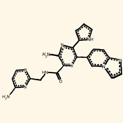 Nc1ccnc(CNC(=O)c2nc(-c3ccc4nccn4c3)c(-c3ccc[nH]3)nc2N)n1